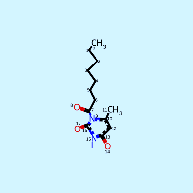 CCCCCCCC(=O)n1c(C)cc(=O)[nH]c1=O